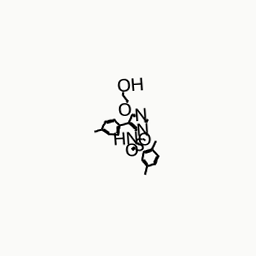 Cc1ccc(-c2c(NS(=O)(=O)c3cc(C)ccc3C)ncnc2OCCO)cc1